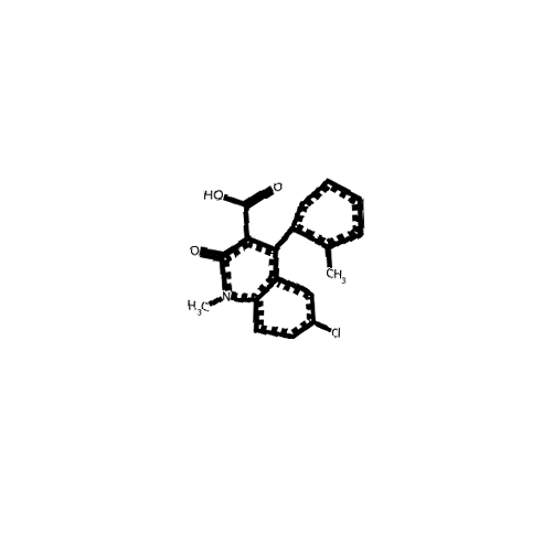 Cc1ccccc1-c1c(C(=O)O)c(=O)n(C)c2ccc(Cl)cc12